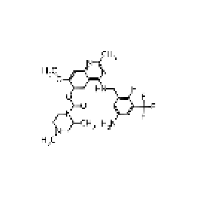 COc1cc2nc(C)nc(NCc3cc(N)cc(C(F)(F)F)c3F)c2cc1OC(=O)N1CCN(C)CC1C